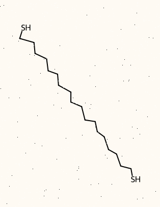 SCCCCCCCCCCCCCCCCCCS